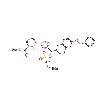 COC(=O)c1cccc(-c2cnc(C(OS(=O)(=O)C(C)(C)CC(C)(C)C)C3CCc4cc(OCc5ccccc5)ccc4C3)o2)n1